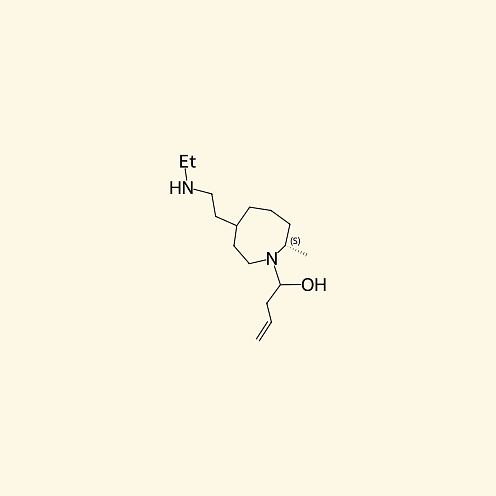 C=CCC(O)N1CCC(CCNCC)CCC[C@@H]1C